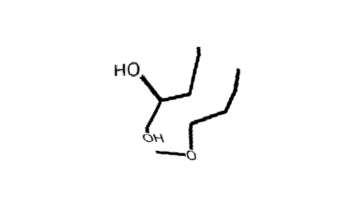 CCC(O)O.CCCOC